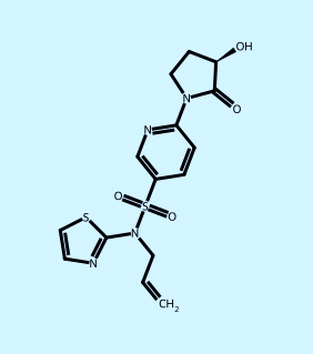 C=CCN(c1nccs1)S(=O)(=O)c1ccc(N2CC[C@@H](O)C2=O)nc1